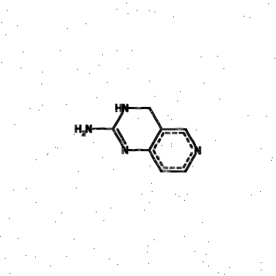 NC1=Nc2ccncc2CN1